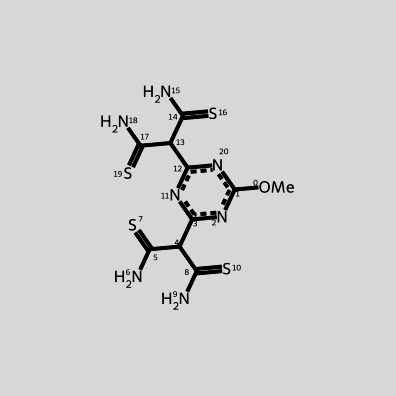 COc1nc(C(C(N)=S)C(N)=S)nc(C(C(N)=S)C(N)=S)n1